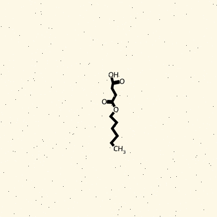 CCCCCCOC(=O)CCC(=O)O